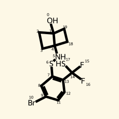 OC12CCC1(NSc1cc(Br)ccc1C(F)(F)S)CC2